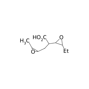 CCC1OC1C(CC1OC1C)C(=O)O